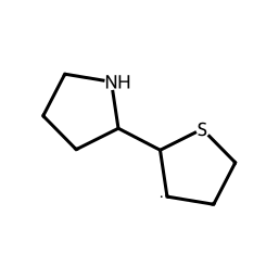 [CH]1CCSC1C1CCCN1